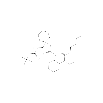 CCCCOC(=O)[C@@H](CC)[C@@H]1CCCC[C@@H]1NC(=O)CC1(CNC(=O)OC(C)(C)C)CCCCC1